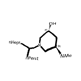 CCCCCCCC(CCCCC)N1C[C@H](O)C[C@@H](NC)C1